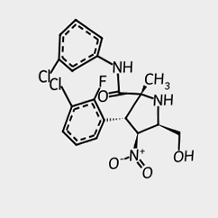 C[C@@]1(C(=O)Nc2cccc(Cl)c2)N[C@@H](CO)[C@@H]([N+](=O)[O-])[C@@H]1c1cccc(Cl)c1F